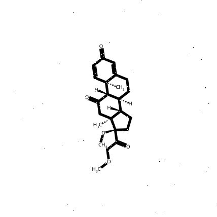 COCC(=O)[C@@]1(OC)CC[C@H]2[C@@H]3CCC4=CC(=O)C=C[C@]4(C)[C@H]3C(=O)C[C@@]21C